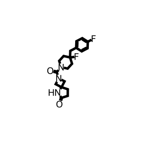 O=C1CCC2(CN(C(=O)N3CCC(F)(Cc4ccc(F)cc4)CC3)C2)N1